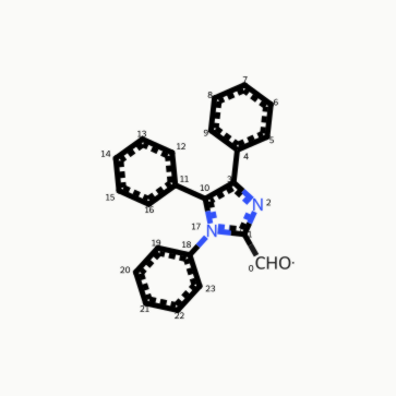 O=[C]c1nc(-c2ccccc2)c(-c2ccccc2)n1-c1ccccc1